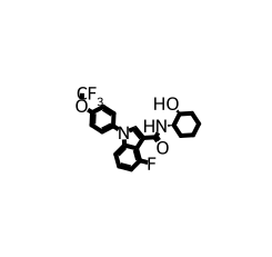 O=C(N[C@H]1CCCC[C@@H]1O)c1cn(-c2ccc(OC(F)(F)F)cc2)c2cccc(F)c12